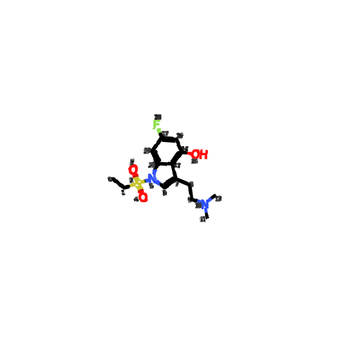 CCS(=O)(=O)n1cc(CCN(C)C)c2c(O)cc(F)cc21